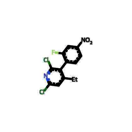 CCc1cc(Cl)nc(Cl)c1-c1ccc([N+](=O)[O-])cc1F